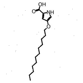 CCCCCCCCCCCCOc1c[nH]c(C(=O)O)c1